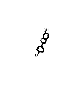 CCc1ccc(-c2cc3ccc(O)cc3s2)cc1